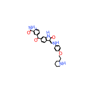 NC(=O)c1cccc(C(=O)c2ccc3c(c2)NC(=O)C3=CNc2ccc(OCCC3CCCCN3)cc2)c1